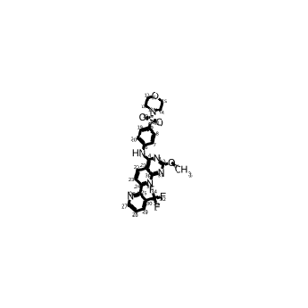 COc1nc(Nc2ccc(S(=O)(=O)N3CCOCC3)cc2)c2ccc(-c3ncccc3C(F)(F)F)nc2n1